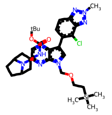 Cn1nc2ccc(-c3cn(COCC[Si](C)(C)C)c4nc(N5C6CCC5CC(NC(=O)OC(C)(C)C)C6)cnc34)c(Cl)c2n1